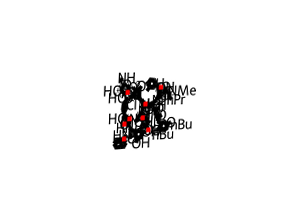 CCCCOc1ccc(OCCCC)c(NC(=O)NC(=O)C[C@@H]2NC(=O)[C@H](NC(=O)[C@@H](CC(C)C)NC)[C@H](O)c3ccc(c(C)c3)Oc3cc4cc(c3O[C@@H]3O[C@H](CN)[C@@H](O)[C@H](O)[C@H]3O)Oc3ccc(cc3Cl)[C@@H](O)[C@@H]3NC(=O)[C@H](NC(=O)[C@@H]4NC2=O)c2ccc(O)c(c2)-c2c(O)cc(O)cc2[C@@H](C(=O)NC2C4CC5CC(C4)CC2C5)NC3=O)c1